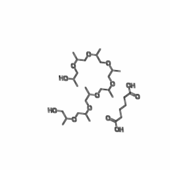 CC(O)COC(C)COC(C)COC(C)COC(C)COC(C)COC(C)COC(C)CO.O=C(O)CCCCC(=O)O